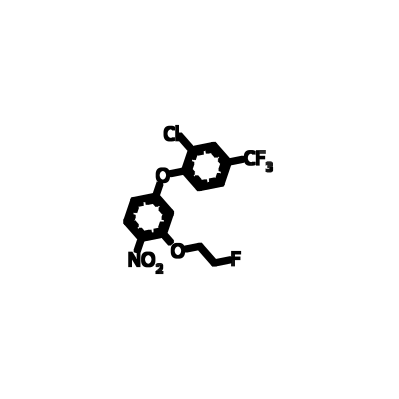 O=[N+]([O-])c1ccc(Oc2ccc(C(F)(F)F)cc2Cl)cc1OCCF